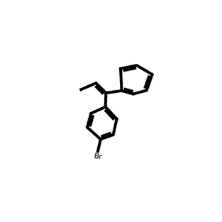 CC=C(c1ccccc1)c1ccc(Br)cc1